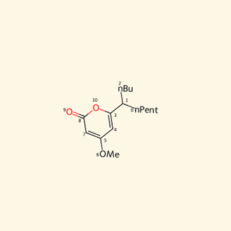 CCCCCC(CCCC)c1cc(OC)cc(=O)o1